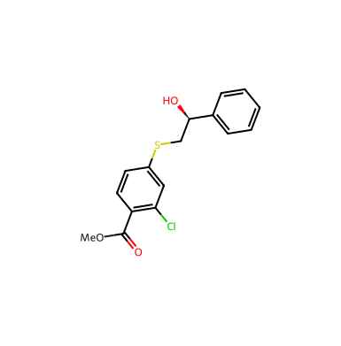 COC(=O)c1ccc(SC[C@@H](O)c2ccccc2)cc1Cl